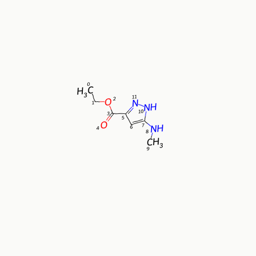 CCOC(=O)c1cc(NC)[nH]n1